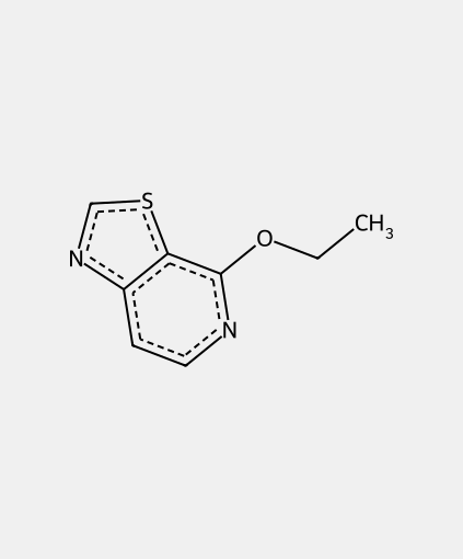 CCOc1nccc2ncsc12